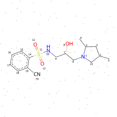 CC1CC(C)N(C[C@@H](O)CNS(=O)(=O)c2ccccc2C#N)C1